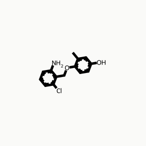 Cc1cc(O)ccc1OCc1c(N)cccc1Cl